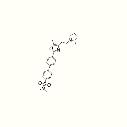 Cc1oc(-c2ccc(-c3ccc(S(=O)(=O)N(C)C)cc3)cc2)nc1CCN1CCCC1C